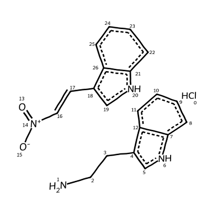 Cl.NCCc1c[nH]c2ccccc12.O=[N+]([O-])C=Cc1c[nH]c2ccccc12